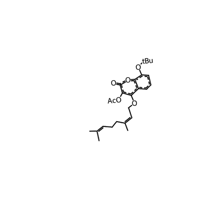 CC(=O)Oc1c(OCC=C(C)CCC=C(C)C)c2cccc(OC(C)(C)C)c2oc1=O